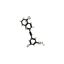 Nc1cc(F)cc(C#Cc2ccc3c(n2)CCCC3=O)c1